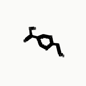 C=Cc1ncc(C(=O)OC)cn1